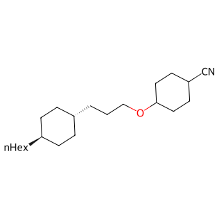 CCCCCC[C@H]1CC[C@H](CCCOC2CCC(C#N)CC2)CC1